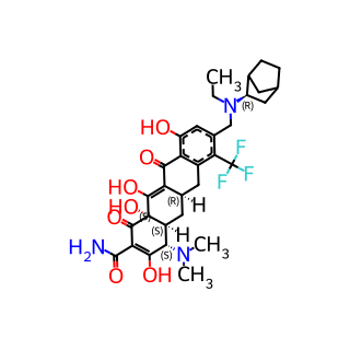 CCN(Cc1cc(O)c2c(c1C(F)(F)F)C[C@H]1C[C@H]3[C@H](N(C)C)C(O)=C(C(N)=O)C(=O)[C@@]3(O)C(O)=C1C2=O)[C@@H]1CC2CCC1C2